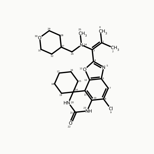 CC(C)=C(c1nc2cc(Cl)c3c(c2o1)C1(CCCCC1)NC(=O)N3)N(C)CC1CCOCC1